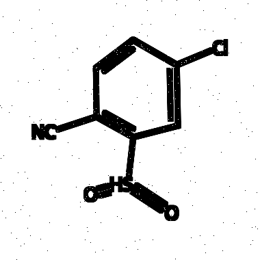 N#Cc1ccc(Cl)cc1[SH](=O)=O